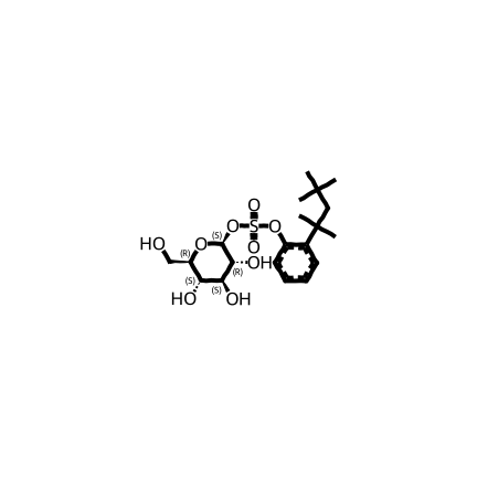 CC(C)(C)CC(C)(C)c1ccccc1OS(=O)(=O)O[C@@H]1O[C@H](CO)[C@@H](O)[C@H](O)[C@H]1O